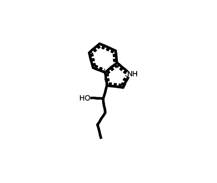 CCCC(O)c1c[nH]c2ccccc12